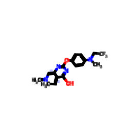 C=N/C=c1/nc(Oc2ccc(N(C)CC(F)(F)F)cc2)nc(O)/c1=C/C